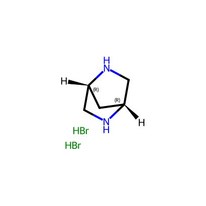 Br.Br.C1N[C@H]2CN[C@@H]1C2